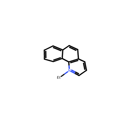 CC[n+]1cccc2ccc3ccccc3c21